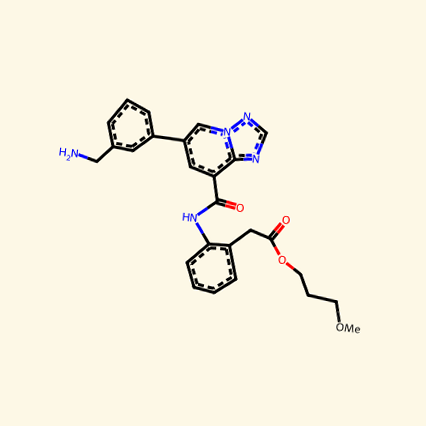 COCCCOC(=O)Cc1ccccc1NC(=O)c1cc(-c2cccc(CN)c2)cn2ncnc12